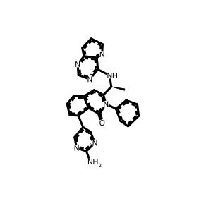 C[C@H](Nc1ncnc2cccnc12)c1cc2cccc(-c3cnc(N)nc3)c2c(=O)n1-c1ccccc1